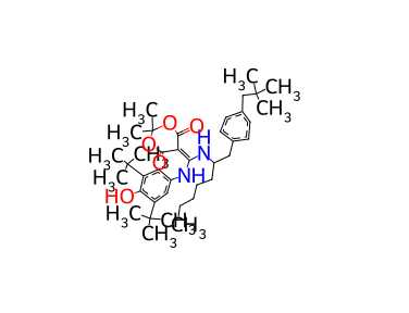 CCCCCC(Cc1ccc(CC(C)(C)C)cc1)NC(Nc1cc(C(C)(C)C)c(O)c(C(C)(C)C)c1)=C1C(=O)OC(C)(C)OC1=O